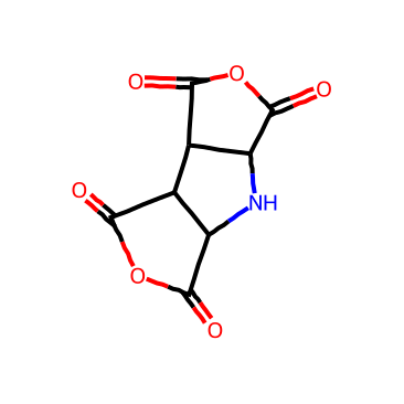 O=C1OC(=O)C2C1NC1C(=O)OC(=O)C12